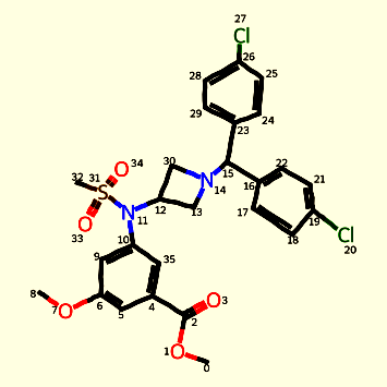 COC(=O)c1cc(OC)cc(N(C2CN(C(c3ccc(Cl)cc3)c3ccc(Cl)cc3)C2)S(C)(=O)=O)c1